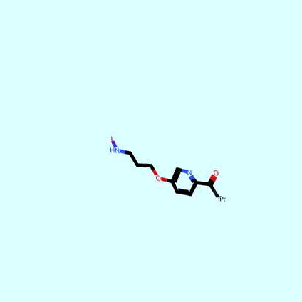 CC(C)C(=O)c1ccc(OCCCNI)cn1